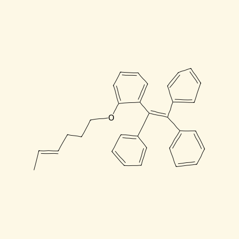 CC=CCCCOc1ccccc1C(=C(c1ccccc1)c1ccccc1)c1ccccc1